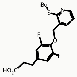 CCC(C)Sc1ncccc1COc1c(F)cc(CCC(=O)O)cc1F